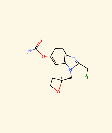 NC(=O)Oc1ccc2nc(CCl)n(C[C@@H]3CCO3)c2c1